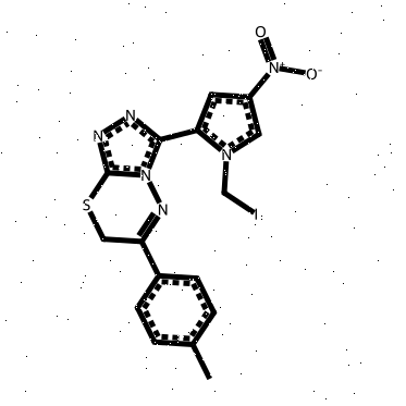 Cc1ccc(C2=Nn3c(nnc3-c3cc([N+](=O)[O-])cn3CI)SC2)cc1